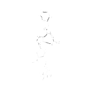 O=P(O)(O)COC[C@H]1OC(n2cnc3c(NCc4ccccn4)nc(Cl)nc32)C[C@@H]1O